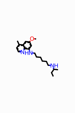 CCC(C)NCCCCCCNc1cc(OC)cc2c(C)ccnc12